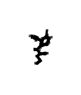 CCCC(=O)Nc1snc(C)c1C#N